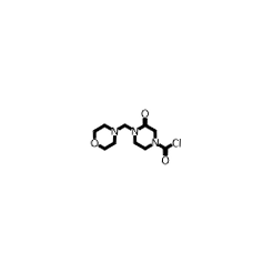 O=C(Cl)N1CCN(CN2CCOCC2)C(=O)C1